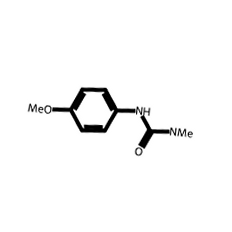 CNC(=O)Nc1ccc(OC)cc1